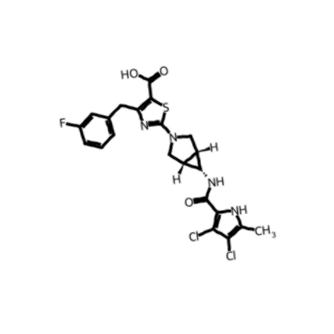 Cc1[nH]c(C(=O)N[C@@H]2[C@@H]3CN(c4nc(Cc5cccc(F)c5)c(C(=O)O)s4)C[C@@H]32)c(Cl)c1Cl